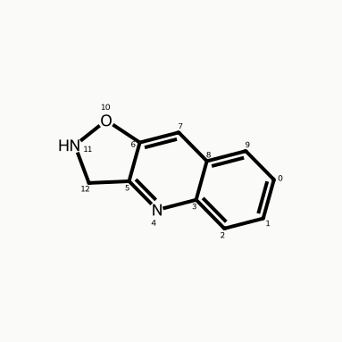 c1ccc2nc3c(cc2c1)ONC3